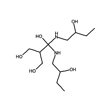 CCC(O)CNC(O)(NCC(O)CC)C(CO)CO